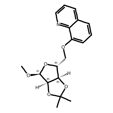 CO[C@H]1O[C@H](COc2cccc3cccnc23)[C@H]2OC(C)(C)O[C@@H]12